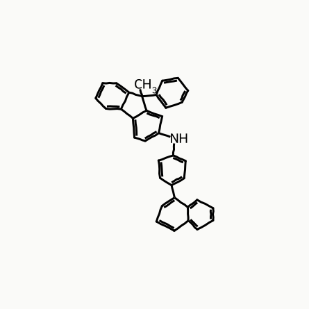 CC1(c2ccccc2)c2ccccc2-c2ccc(Nc3ccc(-c4cccc5ccccc45)cc3)cc21